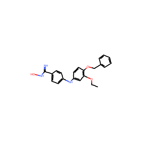 CCOc1cc(Nc2ccc(C(=N)NO)cc2)ccc1OCc1ccccc1